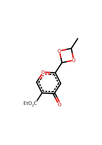 CCOC(=O)c1coc(C2OC(C)O2)cc1=O